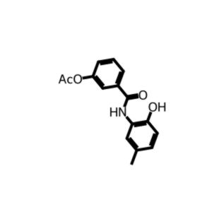 CC(=O)Oc1cccc(C(=O)Nc2cc(C)ccc2O)c1